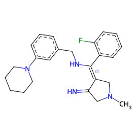 CN1CC(=N)/C(=C(\NCc2cccc(N3CCCCC3)c2)c2ccccc2F)C1